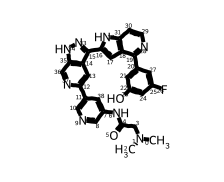 CN(C)CC(=O)Nc1cncc(-c2cc3c(-c4cc5c(-c6cc(O)cc(F)c6)nccc5[nH]4)n[nH]c3cn2)c1